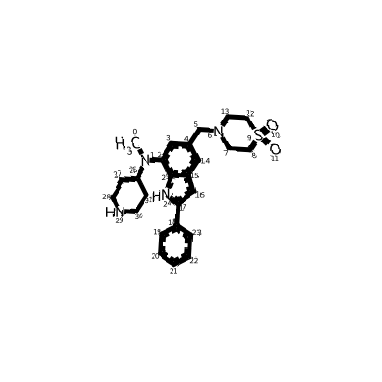 CN(c1cc(CN2CCS(=O)(=O)CC2)cc2cc(-c3ccccc3)[nH]c12)C1CCNCC1